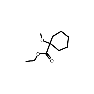 CCOC(=O)C1(OC)CCCCC1